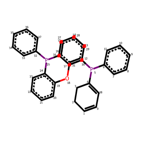 C1=CCCC(P(c2ccccc2)c2ccccc2Oc2ccccc2P(C2=CCCC=C2)c2ccccc2)=C1